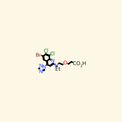 CCN(CCOCCC(=O)O)c1cc(-n2cncn2)c2cc(Br)c(Cl)c(Cl)c2n1